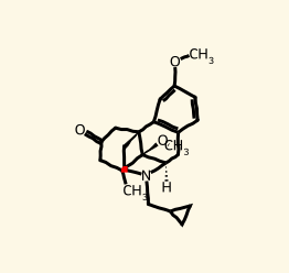 COc1ccc2c(c1)[C@]13CCN(CC4CC4)[C@H](C2)[C@]1(OC)C(C)CC(=O)C3